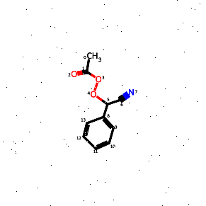 CC(=O)OOC(C#N)c1ccccc1